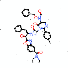 CCN(CC)C(=O)c1ccc2oc(C(=O)C(=Cc3ccccc3)NC(=O)Cn3c(-c4ccc(C)cc4)ncc(N(C=O)OCc4ccccc4)c3=O)nc2c1